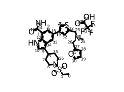 CCS(=O)(=O)N1CCC(c2c[nH]c3c(C(N)=O)cc(-c4csc(CN(C)Cc5ccco5)c4)cc23)CC1.O=C(O)C(F)(F)F